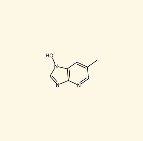 Cc1cnc2ncn(O)c2c1